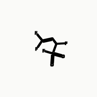 O=S(=O)(F)C(F)C=C(F)F